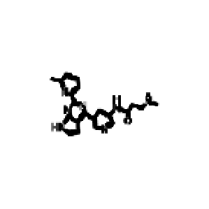 Cc1cccc(-c2nc(-c3cncc(NC(=O)CCN(C)C)c3)c3cc[nH]c3n2)n1